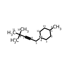 CC1CCN(CC#CC(C)(C)C)CC1